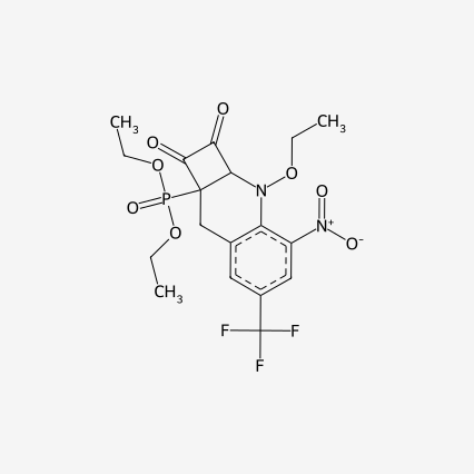 CCON1c2c(cc(C(F)(F)F)cc2[N+](=O)[O-])CC2(P(=O)(OCC)OCC)C(=O)C(=O)C12